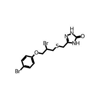 O=c1[nH]nc(CSCC(Br)COc2ccc(Br)cc2)[nH]1